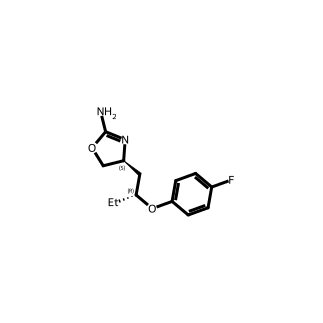 CC[C@H](C[C@H]1COC(N)=N1)Oc1ccc(F)cc1